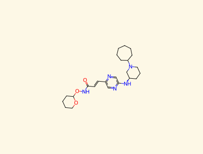 O=C(/C=C/c1cnc(N[C@@H]2CCCN(C3CCCCCC3)C2)cn1)NOC1CCCCO1